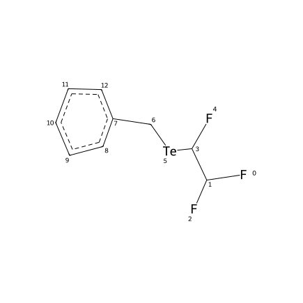 FC(F)C(F)[Te]Cc1ccccc1